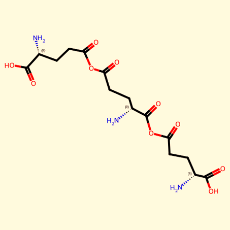 N[C@H](CCC(=O)OC(=O)CC[C@@H](N)C(=O)OC(=O)CC[C@@H](N)C(=O)O)C(=O)O